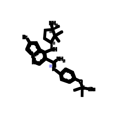 CC1(C)[C@H](Nc2c(/C(N)=N/c3ccc(O[Si](C)(C)C(C)(C)C)cc3)cnn3cc(Br)cc23)CC[C@]1(C)N